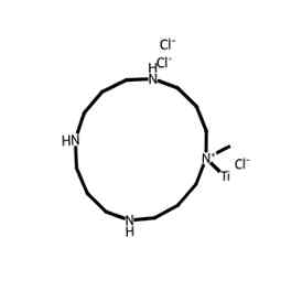 C[N+]1([Ti])CCCNCCCNCCCNCCC1.[Cl-].[Cl-].[Cl-]